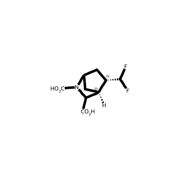 O=C(O)C1[C@H]2CC(C[C@@H]2C(F)F)N1C(=O)O